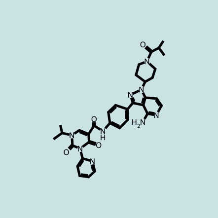 CC(C)C(=O)N1CCC(n2nc(-c3ccc(NC(=O)c4cn(C(C)C)c(=O)n(-c5ccccn5)c4=O)cc3)c3c(N)nccc32)CC1